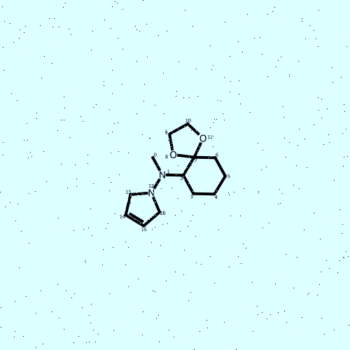 CN(C1CCCCC12OCCO2)N1CC=CC1